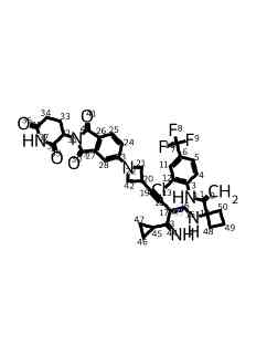 C=C(Nc1ccc(C(F)(F)F)cc1Cl)C1(N/C=C(/C#CC2CN(c3ccc4c(c3)C(=O)N(C3CCC(=O)NC3=O)C4=O)C2)C(=N)C2CC2)CCC1